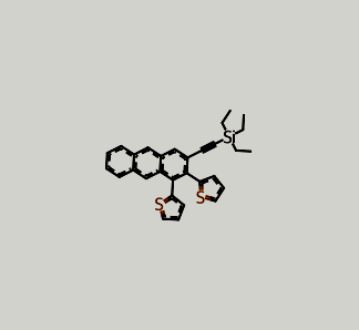 CC[Si](C#Cc1cc2cc3ccccc3cc2c(-c2cccs2)c1-c1cccs1)(CC)CC